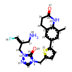 Cc1cc(-c2ccc(Cn3cnn(C/C(=C\F)CN)c3=O)s2)cc2c1NC(=O)CC2